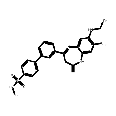 CC(C)CNc1cc2c(cc1C(F)(F)F)NC(=O)CC(c1cccc(-c3ccc(S(=O)(=O)NC(C)(C)C)cc3)c1)=N2